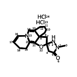 CN1NC2(CC1=O)CC13CCCCC1=CN1C=CCCC1=C3O2.Cl.Cl